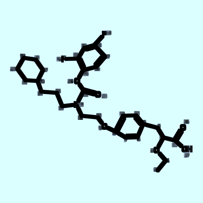 CCOC(Cc1ccc(OCCN(CCCC2CCCCC2)C(=O)Oc2ccc(F)cc2F)cc1)C(=O)O